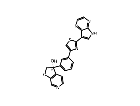 O[C@@]1(c2cccc(-c3csc(-c4c[nH]c5nccnc45)n3)c2)COc2cnccc21